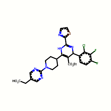 CCOC(=O)C1=C(C2CCN(c3ncc(CC(=O)O)cn3)CC2)NC(c2nccs2)=NC1c1ccc(F)c(F)c1Cl